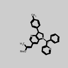 CO/C(C)=C/c1cnc2c(c1)N([C@@H](c1ccccc1)c1ccccn1)CC2c1ccc(C)cc1